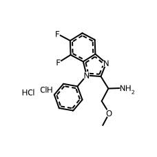 COCC(N)c1nc2ccc(F)c(F)c2n1-c1ccccc1.Cl.Cl